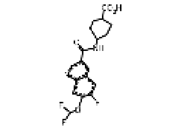 O=C(NC1CCC(C(=O)O)CC1)c1cnc2cc(OC(F)F)c(F)cc2c1